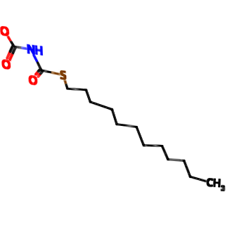 CCCCCCCCCCCCSC(=O)NC(=O)O